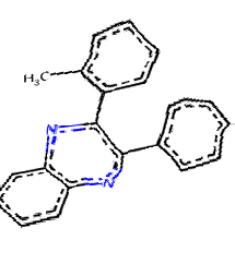 Cc1ccccc1-c1nc2ccccc2nc1-c1ccccc1